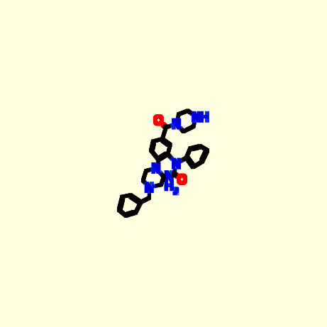 NC(=O)N(c1ccccc1)c1cc(C(=O)N2CCNCC2)ccc1N1CCN(Cc2ccccc2)CC1